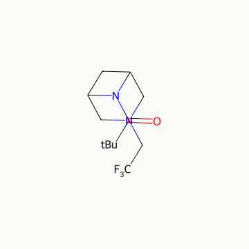 CC(C)(C)C(=O)N1C2CC1CN(CC(F)(F)F)C2